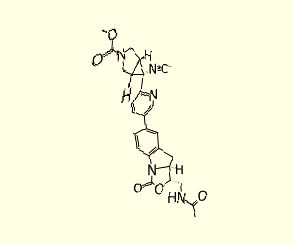 [C-]#[N+][C@]1(c2ccc(-c3ccc4c(c3)C[C@H]3[C@H](CNC(C)=O)OC(=O)N43)cn2)[C@@H]2CN(C(=O)OC)C[C@@H]21